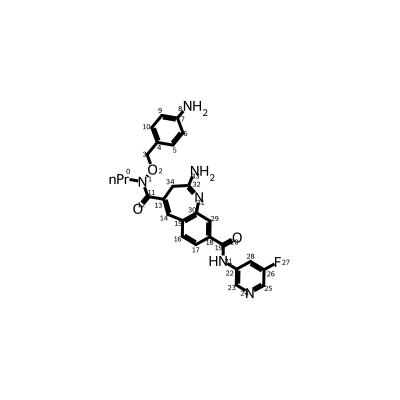 CCCN(OCc1ccc(N)cc1)C(=O)C1=Cc2ccc(C(=O)Nc3cncc(F)c3)cc2N=C(N)C1